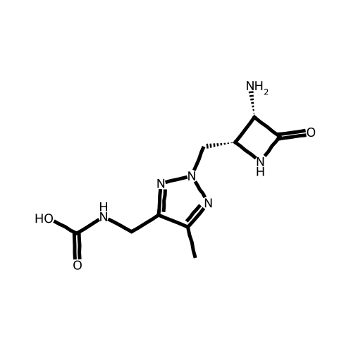 Cc1nn(C[C@H]2NC(=O)[C@H]2N)nc1CNC(=O)O